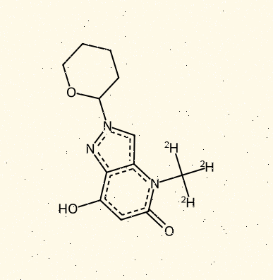 [2H]C([2H])([2H])n1c(=O)cc(O)c2nn(C3CCCCO3)cc21